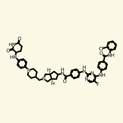 O=C1CCC(Nc2ccc(N3CCC(CN4C[C@H]5CC(NC(=O)c6ccc(Nc7ncc(F)c(Nc8ccc(C(=O)Nc9ccccc9Cl)cc8)n7)cc6)C[C@H]5C4)CC3)cc2)C(=O)N1